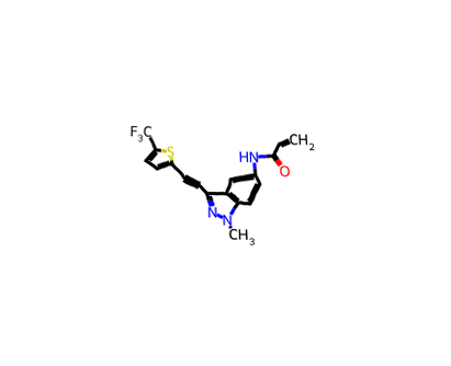 C=CC(=O)Nc1ccc2c(c1)c(C#Cc1ccc(C(F)(F)F)s1)nn2C